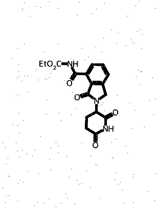 CCOC(=O)NC(=O)c1cccc2c1C(=O)N(C1CCC(=O)NC1=O)C2